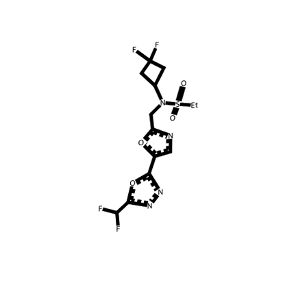 CCS(=O)(=O)N(Cc1ncc(-c2nnc(C(F)F)o2)o1)C1CC(F)(F)C1